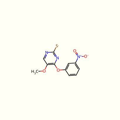 COc1cnc([S])nc1Oc1cccc([N+](=O)[O-])c1